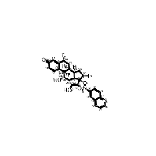 CN(O[C@]1(C(=O)CO)[C@H](I)C[C@H]2[C@@H]3C[C@H](F)C4=CC(=O)C=C[C@]4(C)[C@@]3(F)[C@@H](O)C[C@@]21C)c1ccc2ncccc2c1